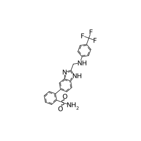 NS(=O)(=O)c1ccccc1-c1ccc2[nH]c(CNc3ccc(C(F)(F)F)cc3)nc2c1